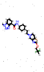 Cn1nnc2c(C(=O)N[C@H]3CC[C@H](CCN4CCc5sc(OCC(C)(F)F)nc5C4)CC3)cccc21